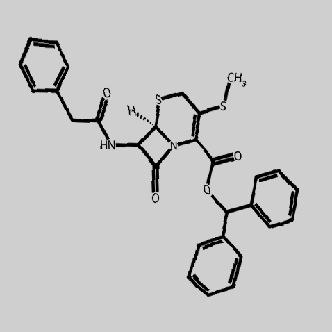 CSC1=C(C(=O)OC(c2ccccc2)c2ccccc2)N2C(=O)C(NC(=O)Cc3ccccc3)[C@H]2SC1